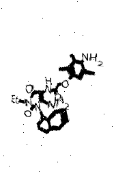 CCn1c(=O)c(NC(=O)COc2cc(C)c(N)c(C)c2C)c(N)n(-c2cccc3ccccc23)c1=O